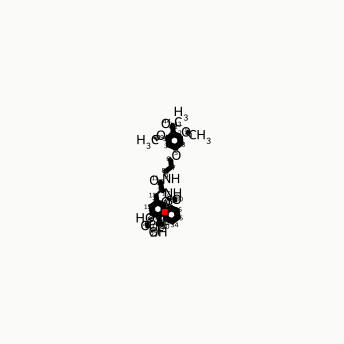 COc1cc(OCCCNC(=O)[C@H](Cc2ccc(C(F)(F)P(=O)(O)O)cc2)NS(=O)(=O)c2ccccc2)cc(OC)c1C(C)=O